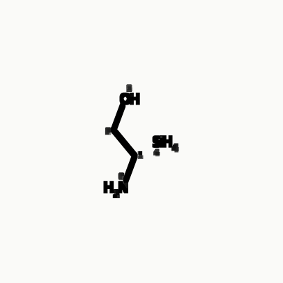 NCCO.[SiH4]